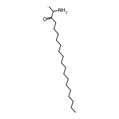 [CH2]C(N)C(=O)CCCCCCCCCCCCCCCCC